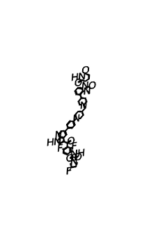 Cn1c(=O)n(C2CCC(=O)NC2=O)c2cccc(C3CCN(CC4CCN(c5ccc(-c6cnc7[nH]cc(C(=O)c8c(F)ccc(NS(=O)(=O)N9CC[C@@H](F)C9)c8F)c7c6)cc5)CC4)CC3)c21